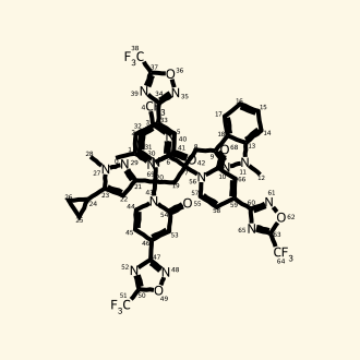 Cc1cc(C(F)(F)F)nc(C(Cc2nn(C)c3ccccc23)(CC(c2cc(C3CC3)n(C)n2)(n2ccc(-c3noc(C(F)(F)F)n3)cc2=O)n2ccc(-c3noc(C(F)(F)F)n3)cc2=O)n2ccc(-c3noc(C(F)(F)F)n3)cc2=O)n1